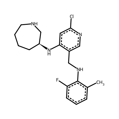 Cc1cccc(F)c1NCc1cnc(Cl)cc1N[C@H]1CCCCNC1